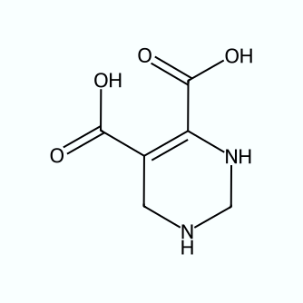 O=C(O)C1=C(C(=O)O)NCNC1